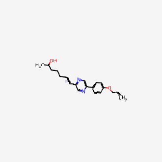 C=CCOc1ccc(-c2cnc(/C=C/CCCC(C)O)cn2)cc1